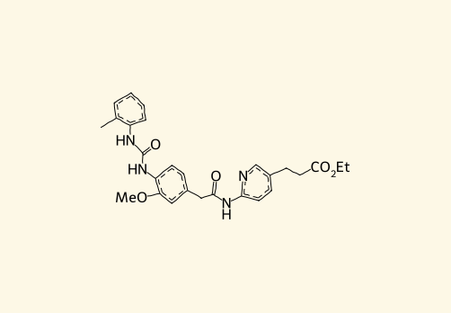 CCOC(=O)CCc1ccc(NC(=O)Cc2ccc(NC(=O)Nc3ccccc3C)c(OC)c2)nc1